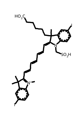 C[N+]1=C(/C=C/C=C/C=C/C=C2\N(CS(=O)(=O)O)c3ccc(I)cc3C2(C)CCCCCC(=O)O)C(C)(C)c2cc(I)ccc21